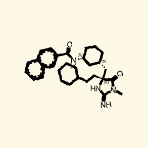 CN1C(=N)N[C@](CCC2CCCCC2)(C[C@H]2CCC[C@@H](NC(=O)c3ccc4ccccc4c3)C2)C1=O